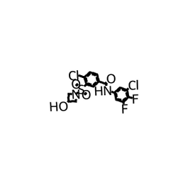 O=C(Nc1cc(F)c(F)c(Cl)c1)c1ccc(Cl)c(S(=O)(=O)N2CC(O)C2)c1